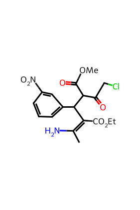 CCOC(=O)C(=C(C)N)C(c1cccc([N+](=O)[O-])c1)C(C(=O)CCl)C(=O)OC